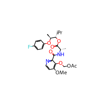 COc1ccnc(C(=O)N[C@@H](C)C(=O)O[C@@H](C(C)C)[C@H](C)Oc2ccc(F)cc2)c1OCOC(C)=O